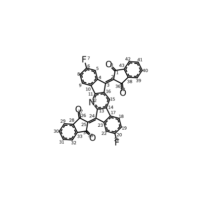 O=C1C(=C2c3cc(F)ccc3-c3nc4c(cc32)-c2ccc(F)cc2C4=C2C(=O)c3ccccc3C2=O)C(=O)c2ccccc21